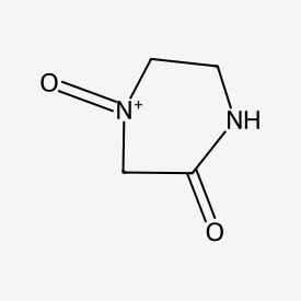 O=C1C[N+](=O)CCN1